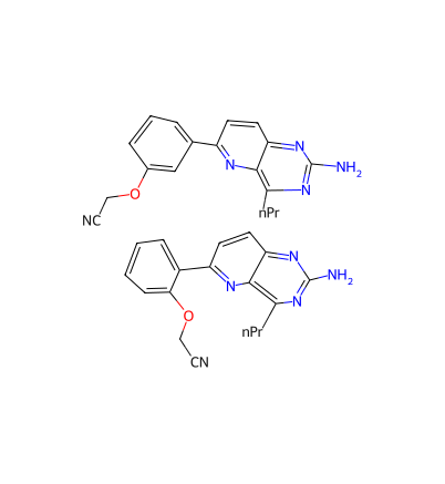 CCCc1nc(N)nc2ccc(-c3cccc(OCC#N)c3)nc12.CCCc1nc(N)nc2ccc(-c3ccccc3OCC#N)nc12